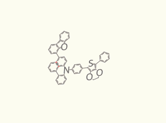 c1ccc(-c2ccccc2N(c2ccc(-c3sc(-c4ccccc4)c4c3OCCO4)cc2)c2ccc(-c3cccc4c3oc3ccccc34)cc2)cc1